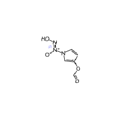 O=COc1ccn(/[N+]([O-])=N/O)c1